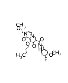 CCCCOc1c(=O)c(C(=O)NCc2ccc(F)c(OC)c2)cn2ccn(CCOC)c(=O)c12